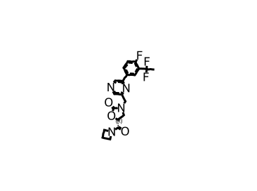 CC(F)(F)c1cc(-c2cncc(CN3C[C@H](C(=O)N4CCC4)OC3=O)n2)ccc1F